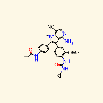 C=CC(=O)Nc1ccc(-c2c(-c3ccc(NC(=O)NC4CC4)c(OC)c3)c3c(N)ncc(C#N)c3n2C)cc1